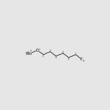 CC(C)(C)OCCCCCCF